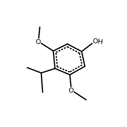 COc1cc(O)cc(OC)c1C(C)C